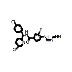 N=C/N=C\Nc1ccc(C(=O)N[C@@H](c2ccc(Cl)cc2)c2ccc(Cl)cn2)cc1F